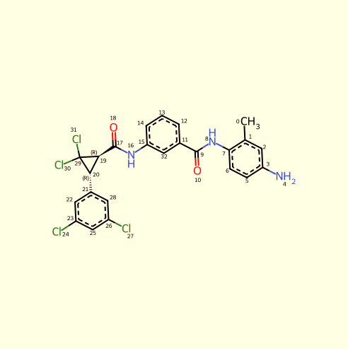 Cc1cc(N)ccc1NC(=O)c1cccc(NC(=O)[C@H]2[C@H](c3cc(Cl)cc(Cl)c3)C2(Cl)Cl)c1